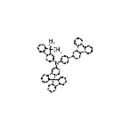 CC1(C)c2ccccc2-c2ccc(N(c3ccc(-c4ccc5c6ccccc6c6ccccc6c5c4)cc3)c3ccc4c(c3)-c3ccccc3C43c4ccccc4-c4ccccc43)cc21